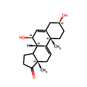 C[C@]12CC[C@H](O)CC1=C[C@H](O)[C@@H]1C2=CC[C@]2(C)C(=O)CCC12